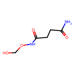 NC(=O)CCC(=O)NOCO